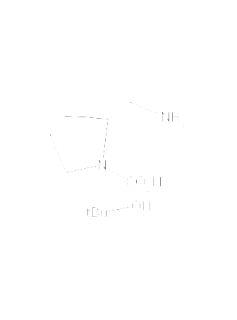 CC(C)(C)O.NCC1CCCN1C(=O)O